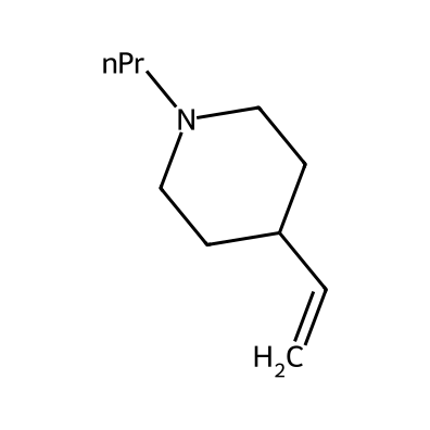 C=CC1CCN(CCC)CC1